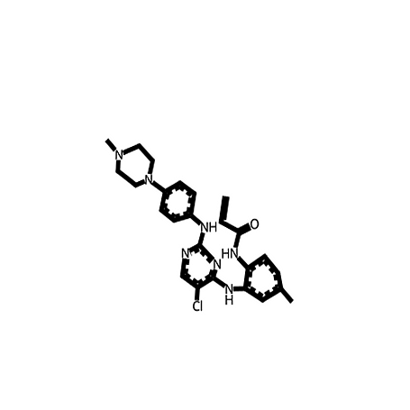 C=CC(=O)Nc1ccc(C)cc1Nc1nc(Nc2ccc(N3CCN(C)CC3)cc2)ncc1Cl